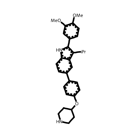 COc1ccc(-c2[nH]c3ccc(-c4ccc(OC5CCNCC5)cc4)cc3c2C(C)C)cc1OC